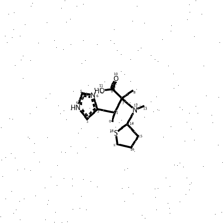 CC(c1c[nH]cn1)C(C)(C(=O)O)N(C)C1CCCS1